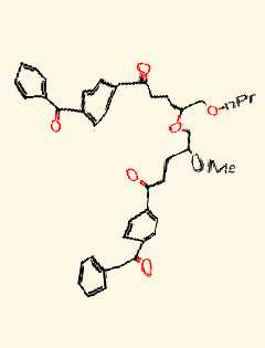 CCCOCC(CCC(=O)c1ccc(C(=O)c2ccccc2)cc1)OCC(CCC(=O)c1ccc(C(=O)c2ccccc2)cc1)OC